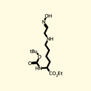 CCOC(=O)C(CCCCNCC=NO)NC(=O)OC(C)(C)C